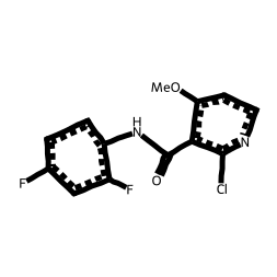 COc1ccnc(Cl)c1C(=O)Nc1ccc(F)cc1F